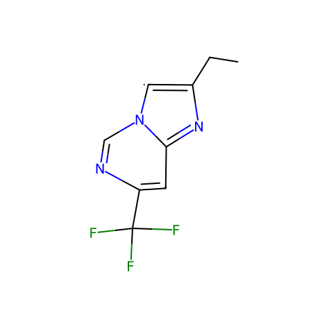 CCc1[c]n2cnc(C(F)(F)F)cc2n1